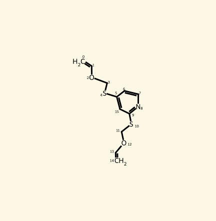 C=COCSc1ccnc(SCOC=C)c1